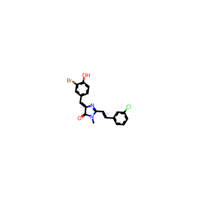 CN1C(=O)/C(=C/c2ccc(O)c(Br)c2)N=C1/C=C/c1cccc(Cl)c1